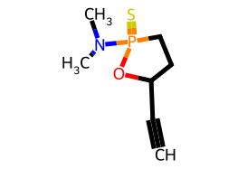 C#CC1CCP(=S)(N(C)C)O1